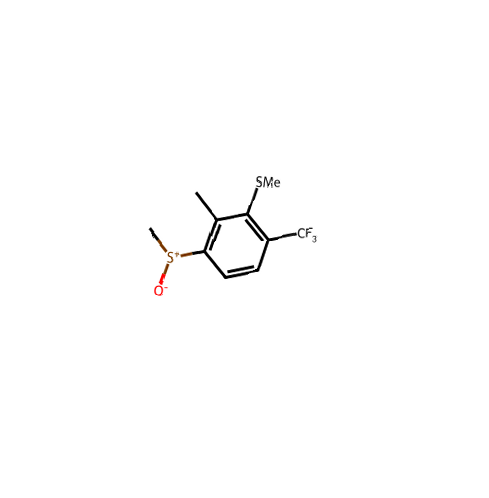 CSc1c(C(F)(F)F)ccc([S+](C)[O-])c1C